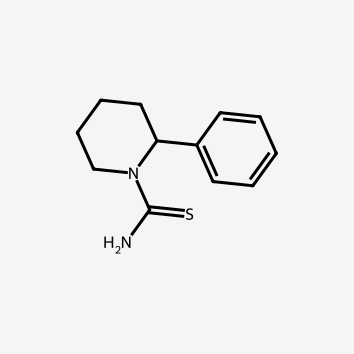 NC(=S)N1CCCCC1c1ccccc1